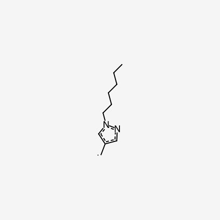 [CH2]c1cnn(CCCCCC)c1